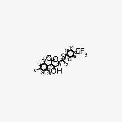 Cc1cc(C)c(C2=C(O)CC(C(C)Sc3ccc(C(F)(F)F)cc3)OC2=O)c(C)c1